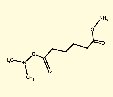 CN(C)OC(=O)CCCCC(=O)ON